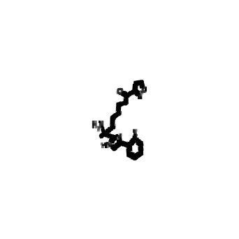 CC(N)(CCCCCC(=O)c1ccon1)c1nc(-c2ccccc2F)c[nH]1